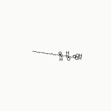 CCC=CCC=CCC=CCC=CCC=CCC=CCCC(=O)NCCCCNC(=O)C=Cc1ccc(O)c(O)c1